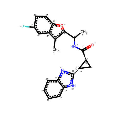 Cc1c(C(C)NC(=O)[C@H]2C[C@@H]2c2nc3ccccc3[nH]2)oc2ccc(F)cc12